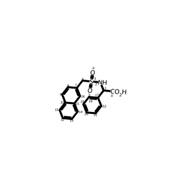 O=C(O)C(NS(=O)(=O)Cc1ccc2ccccc2c1)c1ccccc1